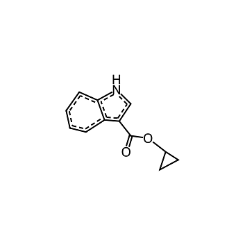 O=C(OC1CC1)c1c[nH]c2ccccc12